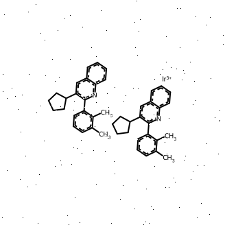 Cc1cccc(-c2nc3ccccc3cc2C2CCCC2)c1C.Cc1cccc(-c2nc3ccccc3cc2C2CCCC2)c1C.[Ir+3]